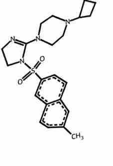 Cc1ccc2cc(S(=O)(=O)N3CCN=C3N3CCN(C4CCC4)CC3)ccc2c1